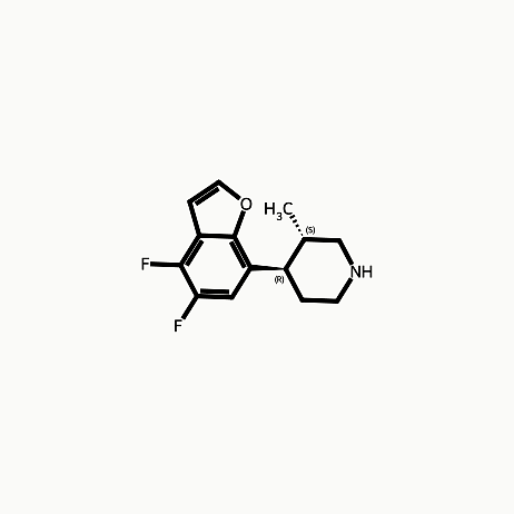 C[C@@H]1CNCC[C@H]1c1cc(F)c(F)c2ccoc12